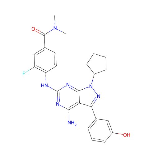 CN(C)C(=O)c1ccc(Nc2nc(N)c3c(-c4cccc(O)c4)nn(C4CCCC4)c3n2)c(F)c1